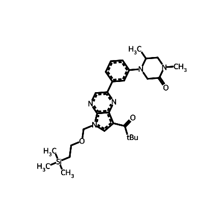 CC1CN(C)C(=O)CN1c1cccc(-c2cnc3c(n2)c(C(=O)C(C)(C)C)cn3COCC[Si](C)(C)C)c1